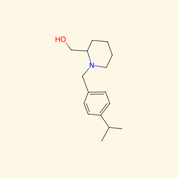 CC(C)c1ccc(CN2CCCCC2CO)cc1